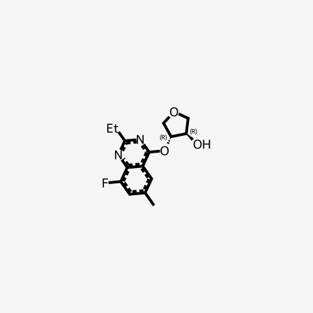 CCc1nc(O[C@@H]2COC[C@H]2O)c2cc(C)cc(F)c2n1